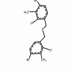 Cc1c(Br)ccc(CSCc2ccc(Br)c(C)c2Cl)c1Cl